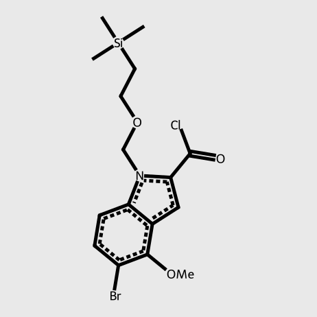 COc1c(Br)ccc2c1cc(C(=O)Cl)n2COCC[Si](C)(C)C